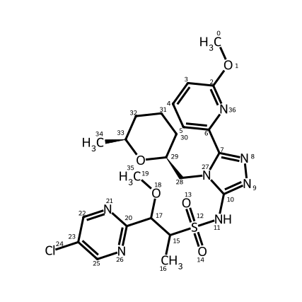 COc1cccc(-c2nnc(NS(=O)(=O)C(C)C(OC)c3ncc(Cl)cn3)n2C[C@@H]2CCC[C@H](C)O2)n1